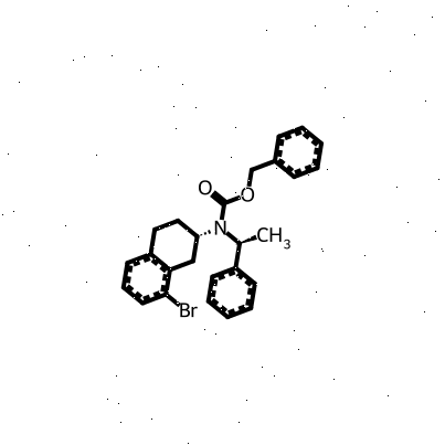 C[C@@H](c1ccccc1)N(C(=O)OCc1ccccc1)[C@H]1CCc2cccc(Br)c2C1